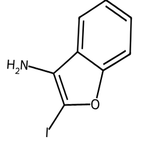 Nc1c(I)oc2ccccc12